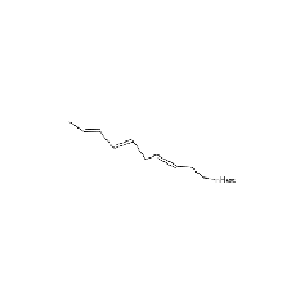 CC=CC=CCC=CCCCCCCCC